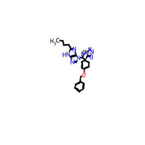 CCCCc1nc2c(ncn2C(C)C2(c3nnn[nH]3)C=CC(OCc3ccccc3)=CC2)[nH]1